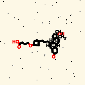 CC1(O)CC[C@H]2[C@@H]3C(CCCc4ccc(OCCCC(=O)O)cc4)CC4=CC(=O)CC[C@]4(C)[C@@H]3CC[C@@]21C